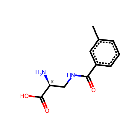 Cc1cccc(C(=O)NC[C@H](N)C(=O)O)c1